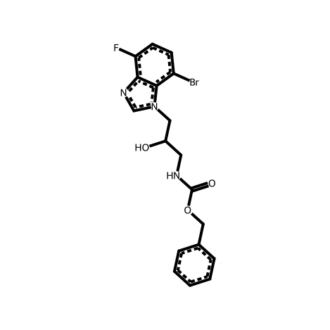 O=C(NCC(O)Cn1cnc2c(F)ccc(Br)c21)OCc1ccccc1